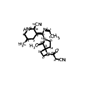 C/C=N\C(=C1\CC(C)CNC1C#N)N1CCC2(CCN2C(=O)CC#N)C1C